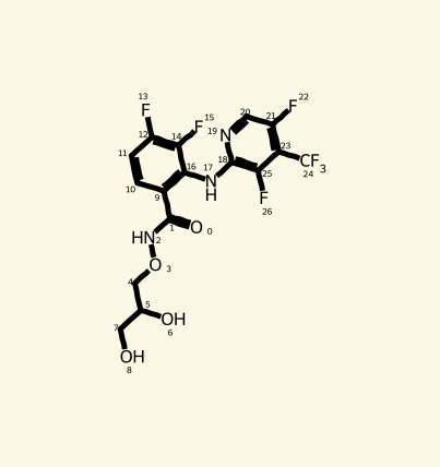 O=C(NOCC(O)CO)c1ccc(F)c(F)c1Nc1ncc(F)c(C(F)(F)F)c1F